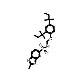 CCC(C)(C)c1ccc(OCNS(=O)(=O)c2ccc3nc(C)sc3c2)c(C(C)(C)CC)c1